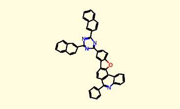 c1ccc(-c2nc3ccccc3c3c2ccc2c4cc(-c5nc(-c6ccc7ccccc7c6)nc(-c6ccc7ccccc7c6)n5)ccc4oc23)cc1